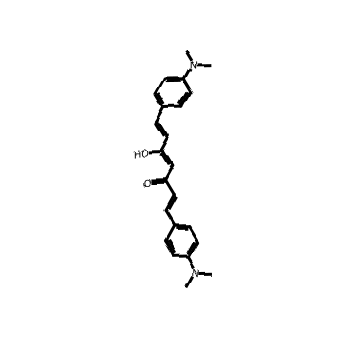 CN(C)c1ccc(C=CC(=O)C=C(O)C=Cc2ccc(N(C)C)cc2)cc1